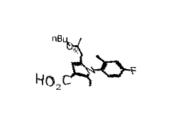 CCCCO[C@@H](C)Cc1cc(C(=O)O)c(C)n1-c1ccc(F)cc1C